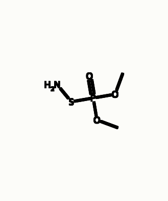 COP(=O)(OC)SN